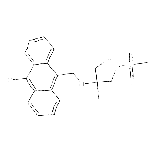 CC(CO)(COS(C)(=O)=O)NCc1c2ccccc2c(Cl)c2ccccc12